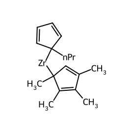 CCC[C]1([Zr][C]2(C)C=C(C)C(C)=C2C)C=CC=C1